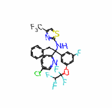 Fc1cc(OC(F)(F)C(F)F)cc(C(Cc2ccccc2)(Nc2nc(C(F)(F)F)cs2)c2ccc(Cl)cn2)c1